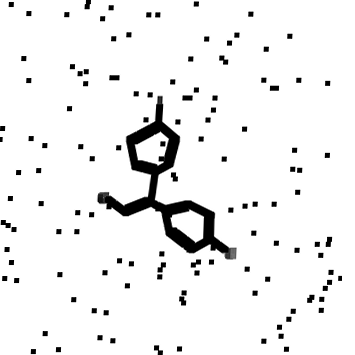 ClC=C(c1ccc(Cl)cc1)c1ccc(I)cc1